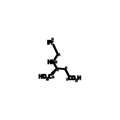 CC(C)CN[C@@H](CC(=O)O)C(=O)O